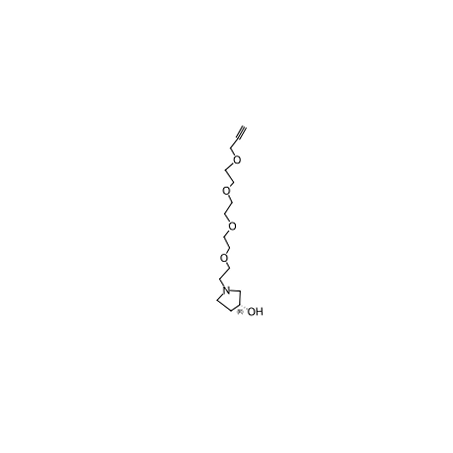 C#CCOCCOCCOCCOCCN1CC[C@@H](O)C1